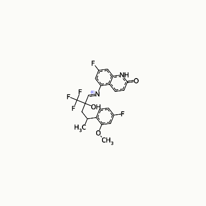 COc1cc(F)ccc1C(C)CC(O)(/C=N/c1cc(F)cc2[nH]c(=O)ccc12)C(F)(F)F